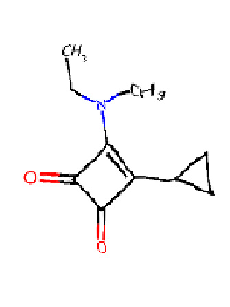 CCN(C)c1c(C2CC2)c(=O)c1=O